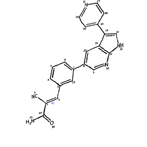 N#C/C(=C\c1cccc(-c2cnc3[nH]cc(-c4ccncc4)c3c2)c1)C(N)=O